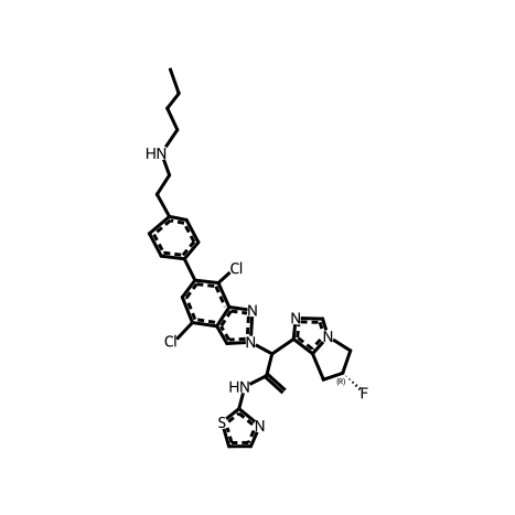 C=C(Nc1nccs1)C(c1ncn2c1C[C@@H](F)C2)n1cc2c(Cl)cc(-c3ccc(CCNCCCC)cc3)c(Cl)c2n1